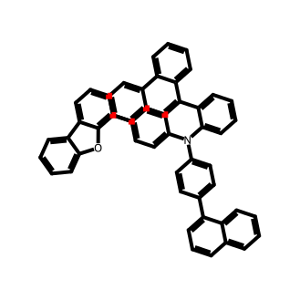 c1ccc(N(c2ccc(-c3cccc4ccccc34)cc2)c2ccc(-c3cccc4c3oc3ccccc34)cc2)c(-c2cc3ccccc3c3ccccc23)c1